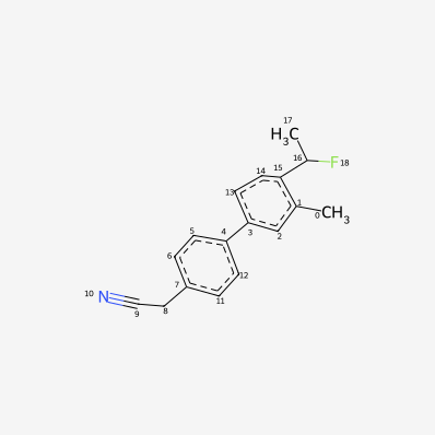 Cc1cc(-c2ccc(CC#N)cc2)ccc1C(C)F